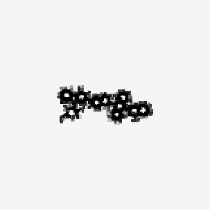 CC(C)CC(C(C)C)n1c2ccccc2c2ccc(-c3ccc4cc(-c5c6ccccc6c(-c6ccc7ccccc7c6)c6ccccc56)ccc4c3)cc21